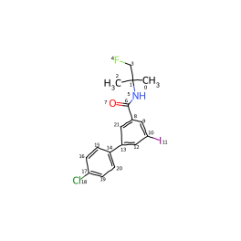 CC(C)(CF)NC(=O)c1cc(I)cc(-c2ccc(Cl)cc2)c1